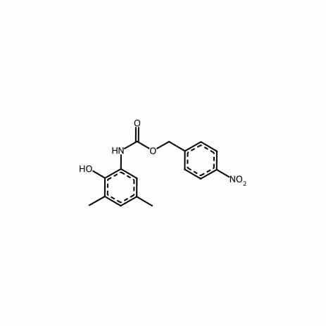 Cc1cc(C)c(O)c(NC(=O)OCc2ccc([N+](=O)[O-])cc2)c1